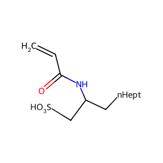 C=CC(=O)NC(CCCCCCCC)CS(=O)(=O)O